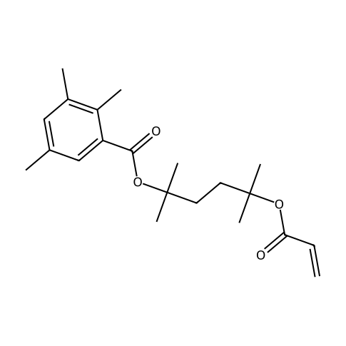 C=CC(=O)OC(C)(C)CCC(C)(C)OC(=O)c1cc(C)cc(C)c1C